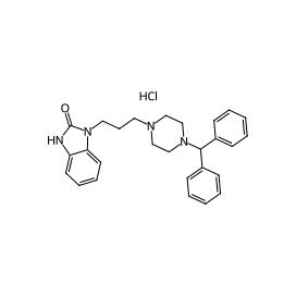 Cl.O=c1[nH]c2ccccc2n1CCCN1CCN(C(c2ccccc2)c2ccccc2)CC1